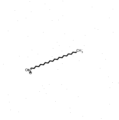 CCCCCCCCCCCCCCCCCCCCC[N+](=O)[O-]